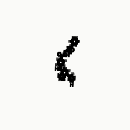 O=C(NCc1cc(-c2ccccc2)on1)c1ccc(Nc2ncc(-c3cn[nH]c3)n3ncnc23)cc1